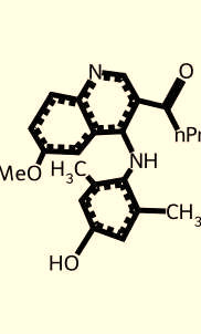 CCCC(=O)c1cnc2ccc(OC)cc2c1Nc1c(C)cc(O)cc1C